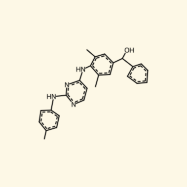 Cc1ccc(Nc2nccc(Nc3c(C)cc(C(O)c4ccccc4)cc3C)n2)cc1